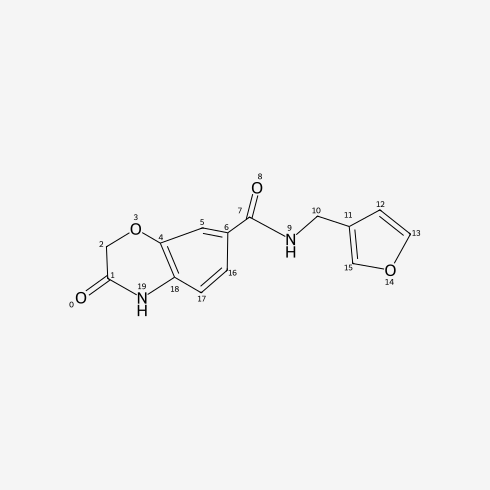 O=C1COc2cc(C(=O)NCc3ccoc3)ccc2N1